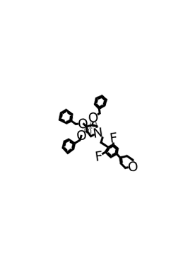 Fc1cc(C2=CCOCC2)cc(F)c1CCN1C[C@H](OCc2ccccc2)C(OCc2ccccc2)[C@H](OCc2ccccc2)C1